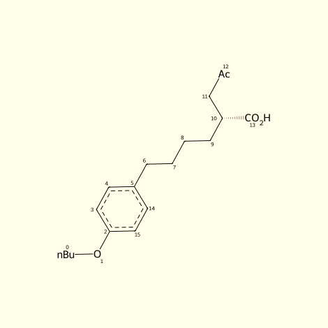 CCCCOc1ccc(CCCC[C@H](CC(C)=O)C(=O)O)cc1